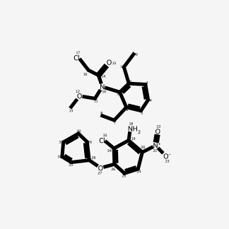 CCc1cccc(CC)c1N(COC)C(=O)CCl.Nc1c([N+](=O)[O-])ccc(Oc2ccccc2)c1Cl